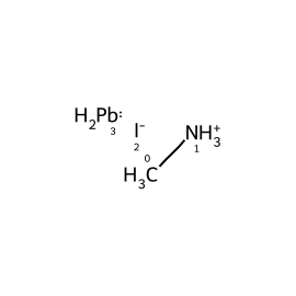 C[NH3+].[I-].[PbH2]